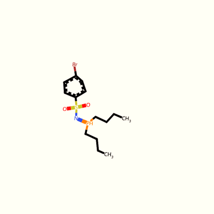 CCCC[PH](CCCC)=NS(=O)(=O)c1ccc(Br)cc1